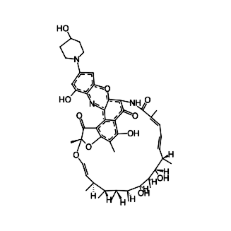 C/C1=C/C=C/[C@H](C)[C@H](O)[C@@H](C)[C@@H](O)[C@@H](C)[C@H](C)[C@H](C)[C@@H](C)/C=C/O[C@@]2(C)Oc3c(C)c(O)c4c(=O)c(c5oc6cc(N7CCC(O)CC7)cc(O)c6nc-5c4c3C2=O)NC1=O